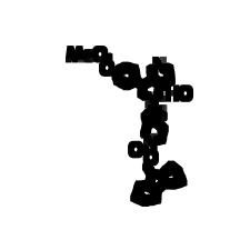 COCOc1ccc(C(CN(C=O)c2cc3c(s2)CCN(C(=O)OCC2c4ccccc4-c4ccccc42)C3)c2cccnc2)cc1